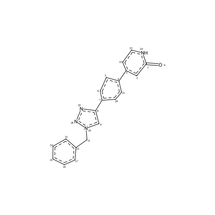 O=c1cc(-c2ccc(-c3cn(Cc4ccccc4)nn3)cc2)cc[nH]1